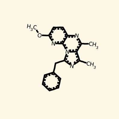 COc1ccc2nc(C)c3c(C)nc(Cc4ccccc4)n3c2n1